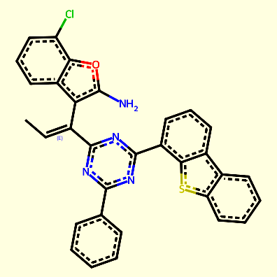 C/C=C(/c1nc(-c2ccccc2)nc(-c2cccc3c2sc2ccccc23)n1)c1c(N)oc2c(Cl)cccc12